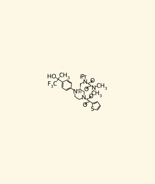 CC(C)N(C[C@H]1CN(S(=O)(=O)c2cccs2)CCN1c1ccc(C(C)(O)C(F)(F)F)cc1)S(=O)(=O)N(C)C